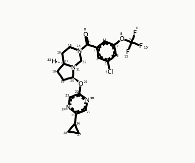 O=C(c1cc(Cl)cc(OC(F)(F)F)c1)N1CC[C@@H]2CC[C@H](Oc3cnc(C4CC4)cn3)N2C1